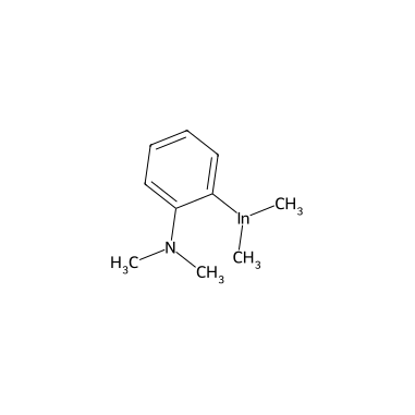 CN(C)c1cccc[c]1[In]([CH3])[CH3]